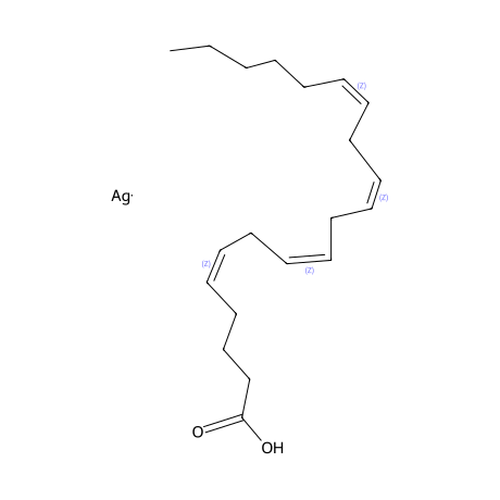 CCCCC/C=C\C/C=C\C/C=C\C/C=C\CCCC(=O)O.[Ag]